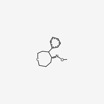 CON=C1CCCCCCC1c1ccccc1